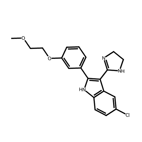 COCCOc1cccc(-c2[nH]c3ccc(Cl)cc3c2C2=NCCN2)c1